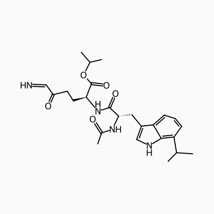 CC(=O)N[C@@H](Cc1c[nH]c2c(C(C)C)cccc12)C(=O)N[C@@H](CCC(=O)C=N)C(=O)OC(C)C